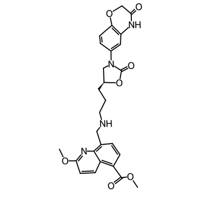 COC(=O)c1ccc(CNCCC[C@H]2CN(c3ccc4c(c3)NC(=O)CO4)C(=O)O2)c2nc(OC)ccc12